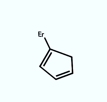 [Er][C]1=CC=CC1